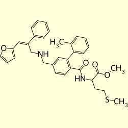 COC(=O)C(CCSC)NC(=O)c1ccc(CNC/C(=C\c2ccco2)c2ccccc2)cc1-c1ccccc1C